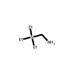 CC[Si](CC)(CC)CN